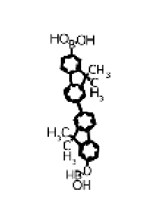 CC1(C)c2cc(OBO)ccc2-c2ccc(-c3ccc4c(c3)C(C)(C)c3cc(B(O)O)ccc3-4)cc21